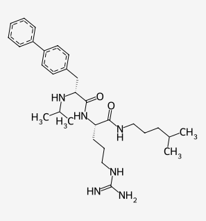 CC(C)CCCNC(=O)[C@H](CCCNC(=N)N)NC(=O)[C@@H](Cc1ccc(-c2ccccc2)cc1)NC(C)C